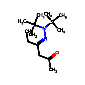 CCC(CC(C)=O)=NN([Si](C)(C)C)[Si](C)(C)C